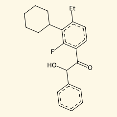 CCc1ccc(C(=O)C(O)c2ccccc2)c(F)c1C1CCCCC1